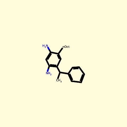 CCCCCCCCc1cc(C(C)c2ccccc2)c(N)cc1N